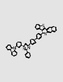 c1ccc(-c2nc(-c3ccc(-c4ccc(-c5nc6cc7ccccc7cc6c6sc7ccccc7c56)cc4)cc3)cc(-c3cccc(-n4c5ccccc5c5ccccc54)c3)n2)cc1